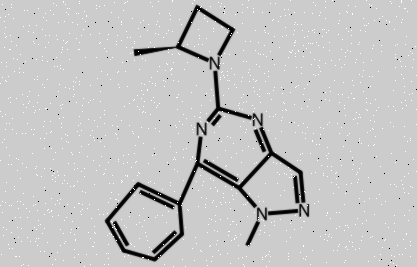 C[C@H]1CCN1c1nc(-c2ccccc2)c2c(cnn2C)n1